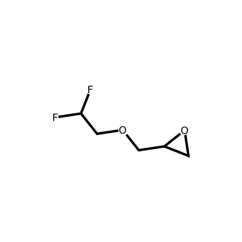 F[C](F)COCC1CO1